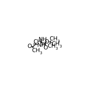 CC(=O)[C@H](C)NC(=N)C(=O)OC(C)(C)C